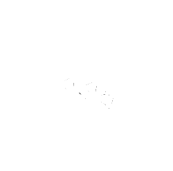 CCC(F)c1cc(F)cc(C#N)c1Cc1ccc(-c2nccnc2C)c2c1CC(F)(F)C2O